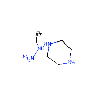 C1CNCCN1.CC(C)NN